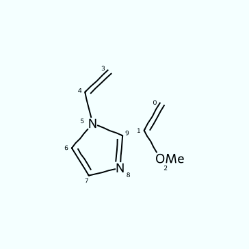 C=COC.C=Cn1ccnc1